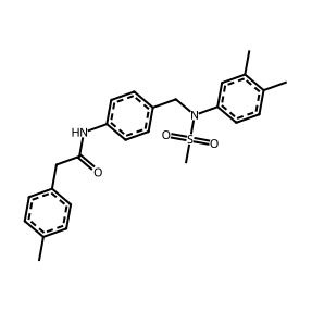 Cc1ccc(CC(=O)Nc2ccc(CN(c3ccc(C)c(C)c3)S(C)(=O)=O)cc2)cc1